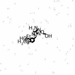 CCC(c1cc(Cn2ncc3c(N)nc(OCCO)nc32)ccc1F)P(C)(=O)O